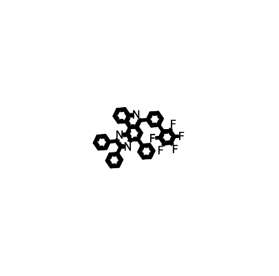 Fc1c(F)c(F)c(-c2cccc(-c3nc4ccccc4c4c3cc(-c3ccccc3)c3nc(-c5ccccc5)c(-c5ccccc5)nc34)c2)c(F)c1F